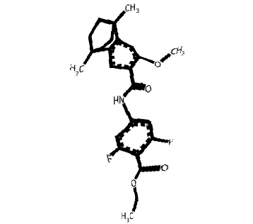 CCOC(=O)c1c(F)cc(NC(=O)c2cc3c(cc2OC)C2(C)CCC3(C)CC2)cc1F